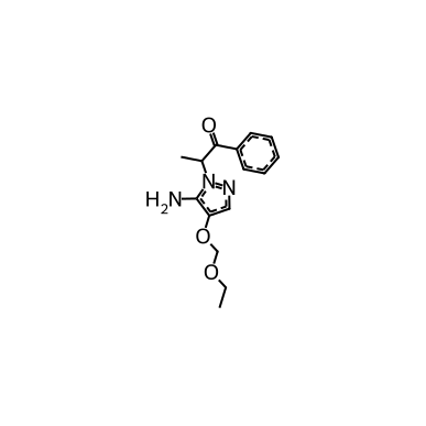 CCOCOc1cnn(C(C)C(=O)c2ccccc2)c1N